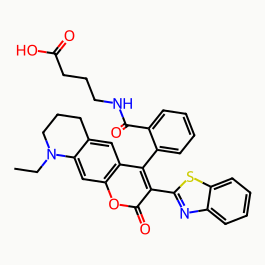 CCN1CCCc2cc3c(-c4ccccc4C(=O)NCCCC(=O)O)c(-c4nc5ccccc5s4)c(=O)oc3cc21